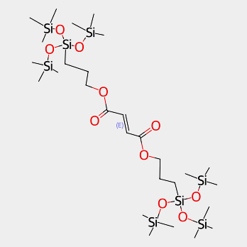 C[Si](C)(C)O[Si](CCCOC(=O)/C=C/C(=O)OCCC[Si](O[Si](C)(C)C)(O[Si](C)(C)C)O[Si](C)(C)C)(O[Si](C)(C)C)O[Si](C)(C)C